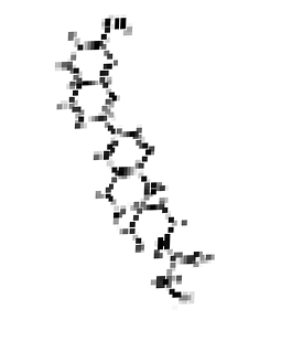 Cc1cc2cc(-c3ccc4c(c3)COC3(CCN(C(=O)NO)CC3)O4)ccc2cn1